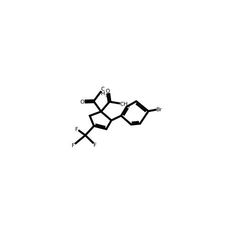 CC(=O)C1(C(C)=O)CC(C(F)(F)F)=CC1c1ccc(Br)cc1